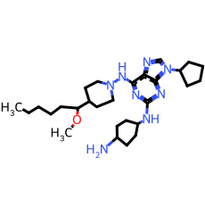 CCCCCC(OC)C1CCN(Nc2nc(NC3CCC(N)CC3)nc3c2ncn3C2CCCC2)CC1